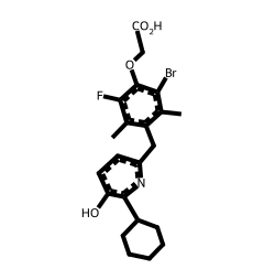 Cc1c(F)c(OCC(=O)O)c(Br)c(C)c1Cc1ccc(O)c(C2CCCCC2)n1